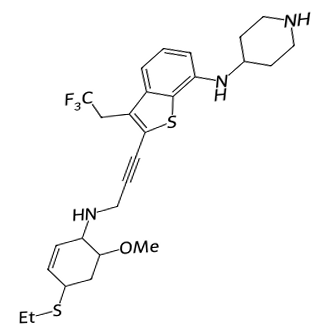 CCSC1C=CC(NCC#Cc2sc3c(NC4CCNCC4)cccc3c2CC(F)(F)F)C(OC)C1